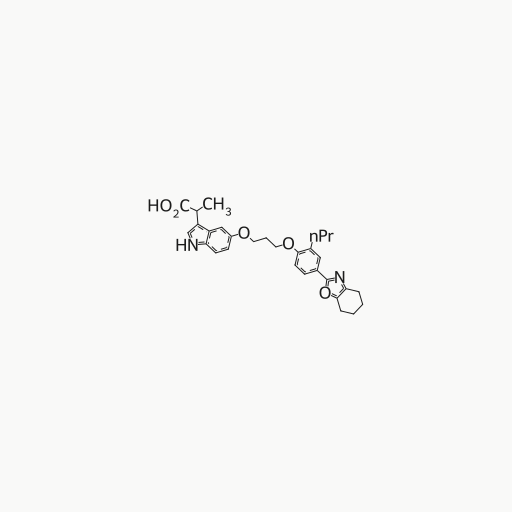 CCCc1cc(-c2nc3c(o2)CCCC3)ccc1OCCCOc1ccc2[nH]cc(C(C)C(=O)O)c2c1